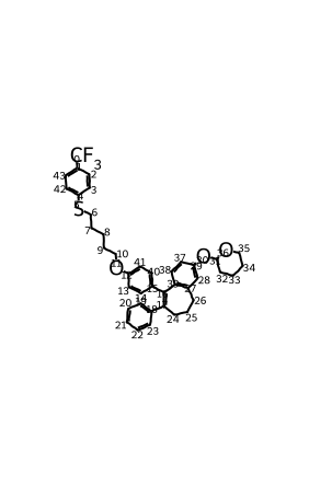 FC(F)(F)c1ccc(SCCCCCOc2ccc(C3=C(c4ccccc4)CCCc4cc(OC5CCCCO5)ccc43)cc2)cc1